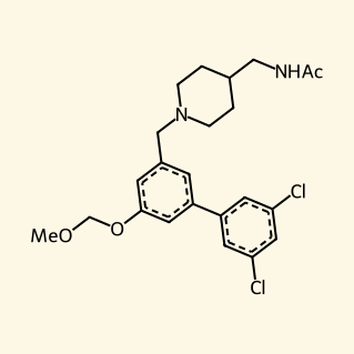 COCOc1cc(CN2CCC(CNC(C)=O)CC2)cc(-c2cc(Cl)cc(Cl)c2)c1